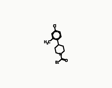 CCC(=O)N1CCC(c2ccc(Cl)cc2C)CC1